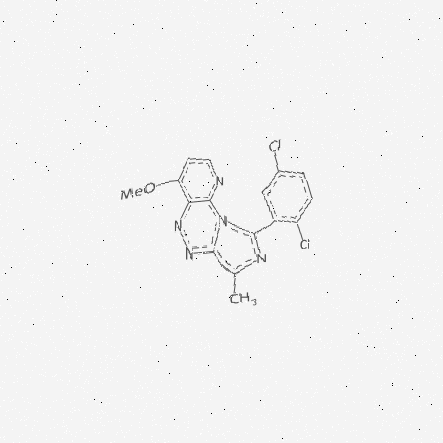 COc1ccnc2c1nnc1c(C)nc(-c3cc(Cl)ccc3Cl)n12